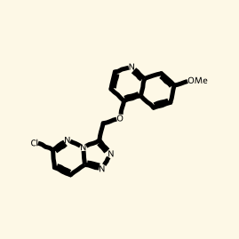 COc1ccc2c(OCc3nnc4ccc(Cl)nn34)ccnc2c1